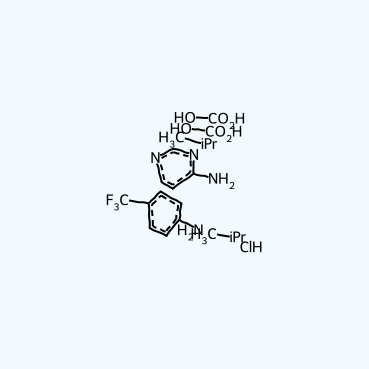 CC(C)C.CC(C)C.Cl.Nc1ccc(C(F)(F)F)cc1.Nc1ccncn1.O=C(O)O.O=C(O)O